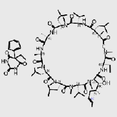 C/C=C/C[C@@H](C)[C@@H](O)[C@H]1C(=O)N[C@@H](CC)C(=O)N(C)CC(=O)N(C)[C@@H](CC(C)C)C(=O)N[C@@H](C(C)C)C(=O)N(C)[C@@H](CC(C)C)C(=O)N[C@@H](C)C(=O)N[C@H](C)C(=O)N(C)[C@@H](CC(C)C)C(=O)N(C)[C@@H](CC(C)C)C(=O)N(C)[C@@H](C(C)C)C(=O)N1C.CCC1(c2ccccc2)C(=O)NC(=O)NC1=O